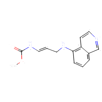 CC(C)(C)OC(=O)NC=CCNc1cccc2cnccc12